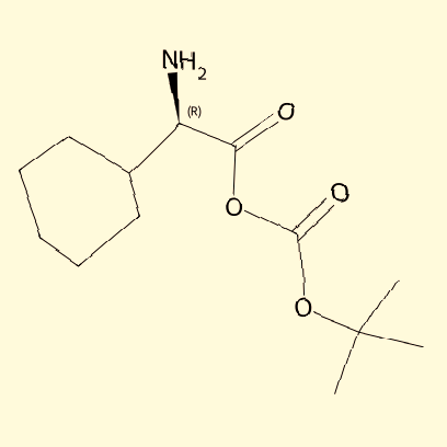 CC(C)(C)OC(=O)OC(=O)[C@H](N)C1CCCCC1